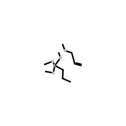 C=CCOC.CCC[Si](OC)(OC)OC